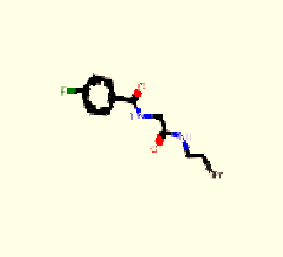 CC(C)CCNC(=O)CNC(=O)c1ccc(F)cc1